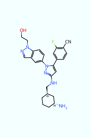 N#Cc1ccc(-c2cc(NC[C@@H]3CCC[C@@H](N)C3)nn2-c2ccc3c(cnn3CCO)c2)cc1F